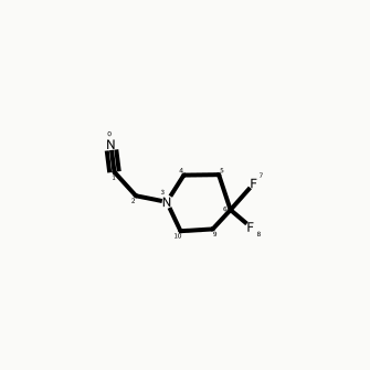 N#CCN1CCC(F)(F)CC1